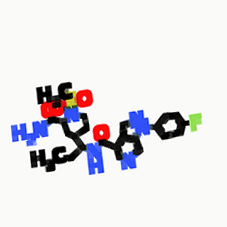 CC[C@H](NC(=O)c1cncc2c1cnn2-c1ccc(F)cc1)[C@@H]1CCN(S(C)(=O)=O)[C@H](C(N)=O)C1